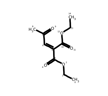 CCOC(=O)C(=CC(C)=O)C(=O)OCC